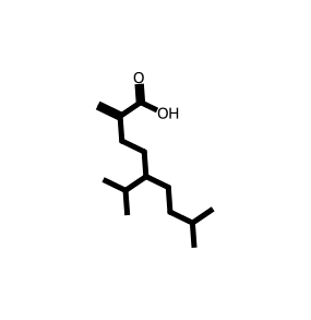 C=C(CCC(CCC(C)C)C(C)C)C(=O)O